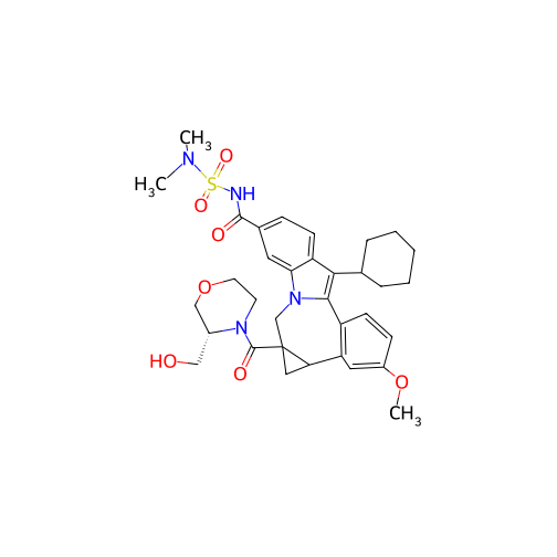 COc1ccc2c(c1)C1CC1(C(=O)N1CCOC[C@H]1CO)Cn1c-2c(C2CCCCC2)c2ccc(C(=O)NS(=O)(=O)N(C)C)cc21